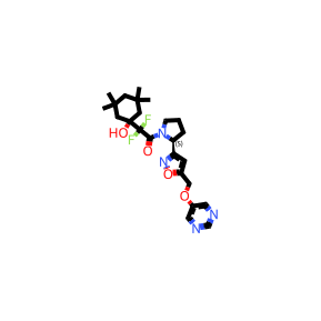 CC1(C)CC(C)(C)CC(O)(C(F)(F)C(=O)N2CCC[C@H]2c2cc(COc3cncnc3)on2)C1